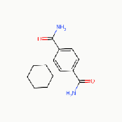 C1CCCCC1.NC(=O)c1ccc(C(N)=O)cc1